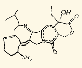 CC[C@@]1(O)C(=O)OCc2c1cc1n(c2=O)CC(=C2/C=CCC[C@@H]2N)/C1=N\C(C)C(C)C